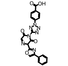 O=C(O)c1ccc(-n2nnc(N3C(=O)C=NC(c4nc(-c5ccccc5)co4)C3=O)n2)cc1